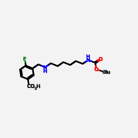 CC(C)(C)OC(=O)NCCCCCCNCc1cc(C(=O)O)ccc1F